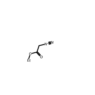 CCOC(=O)C[N+]#N